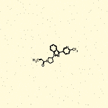 C=CC(=O)N1CCC(n2nc(-c3ccc(C(F)(F)F)nc3)c3ccccc32)C1